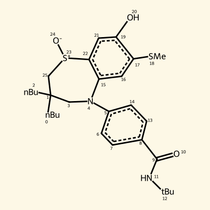 CCCCC1(CCCC)CN(c2ccc(C(=O)NC(C)(C)C)cc2)c2cc(SC)c(O)cc2[S+]([O-])C1